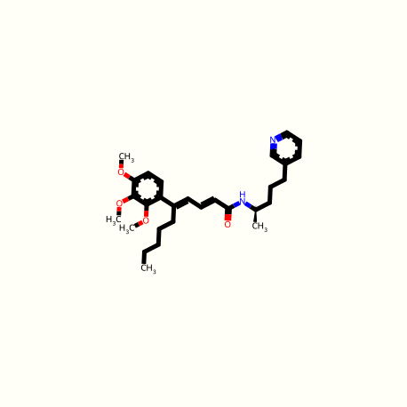 CCCCC/C(=C\C=C\C(=O)N[C@H](C)CCCc1cccnc1)c1ccc(OC)c(OC)c1OC